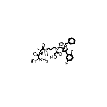 CC(C)[C@H](N)C(=O)N[C@@H](C)C(=O)NCCCN(C(=O)CO)[C@@H](c1cc(-c2cc(F)ccc2F)cn1Cc1ccccc1)C(C)(C)C